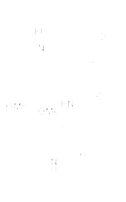 CCN(c1cc2occc2c(C(=O)NCc2c(OC)cc(C)[nH]c2=O)c1C)C(C)CCOC